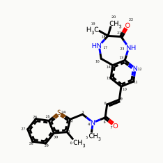 Cc1c(CN(C)C(=O)C=Cc2cnc3c(c2)CNC(C)(C)C(=O)N3)sc2ccccc12